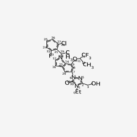 CCn1c(CO)nn(-c2cc(OC(C)C(F)(F)F)c3c(ccn3C(C)c3c(F)cccc3Cl)c2)c1=O